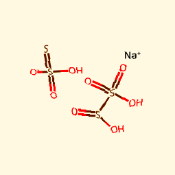 O=S(O)S(=O)(=O)O.O=S([O-])(O)=S.[Na+]